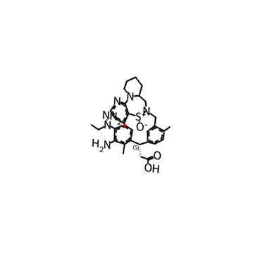 CCN(N)c1ccc([C@@H](CC(=O)O)c2ccc(C)c(CN3CC4CCCCN4c4ncccc4[S+]3[O-])c2)c(C)c1N